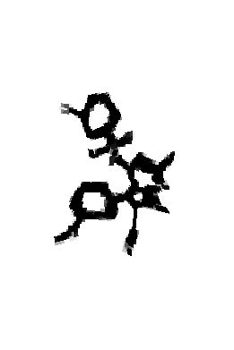 COc1cccc(-c2c(C#N)sc3nc(C)cc(NS(=O)(=O)c4cccc(Cl)c4)c23)c1